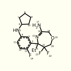 CCC1(c2cc(NC3CCCC3)ccc2F)N=C(N)COCC1(F)F